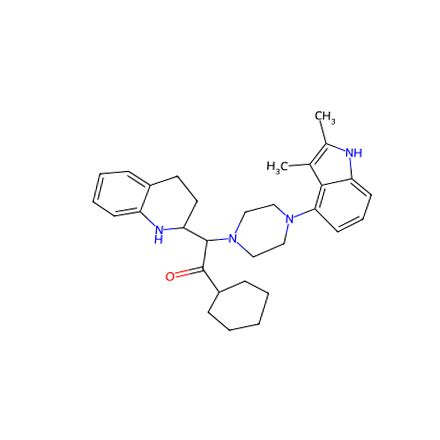 Cc1[nH]c2cccc(N3CCN(C(C(=O)C4CCCCC4)C4CCc5ccccc5N4)CC3)c2c1C